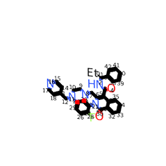 CC[C@H](NC(=O)c1c(CN2CCN(Cc3ccncc3)CC2)n(-c2ccccc2F)c(=O)c2ccccc12)c1ccccc1